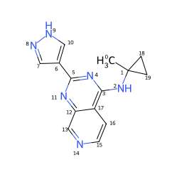 CC1(Nc2nc(-c3cn[nH]c3)nc3cnccc23)CC1